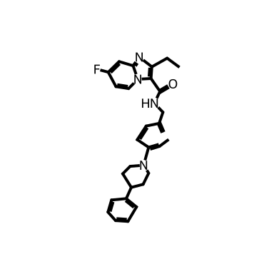 C=C(/C=C\C(=C/C)N1CCC(c2ccccc2)CC1)CNC(=O)c1c(CC)nc2cc(F)ccn12